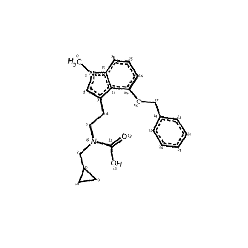 Cn1cc(CCN(CC2CC2)C(=O)O)c2c(OCc3ccccc3)cccc21